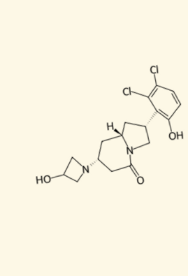 O=C1C[C@H](N2CC(O)C2)C[C@@H]2C[C@H](c3c(O)ccc(Cl)c3Cl)CN12